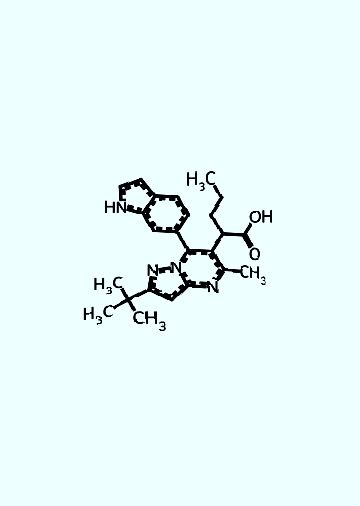 CCCC(C(=O)O)c1c(C)nc2cc(C(C)(C)C)nn2c1-c1ccc2cc[nH]c2c1